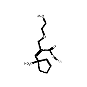 COCCOCC(=CC1(C(=O)O)CCCC1)C(=O)OC(C)(C)C